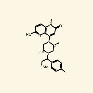 CSCC(c1ccc(F)cc1)N1C[C@H](C)N(c2cc(=O)n(C)c3ccc(C#N)nc23)C[C@H]1C